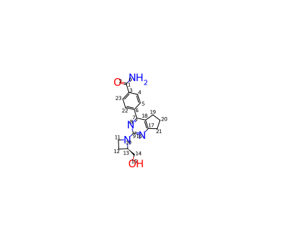 NC(=O)c1ccc(-c2nc(N3CC[C@@H]3CO)nc3c2CCC3)cc1